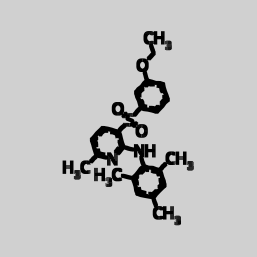 CCOc1cccc(S(=O)(=O)c2ccc(C)nc2Nc2c(C)cc(C)cc2C)c1